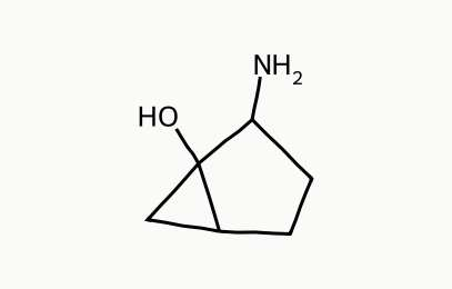 NC1CCC2CC12O